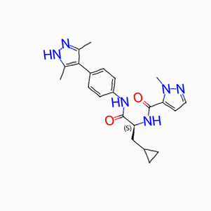 Cc1n[nH]c(C)c1-c1ccc(NC(=O)[C@H](CC2CC2)NC(=O)c2ccnn2C)cc1